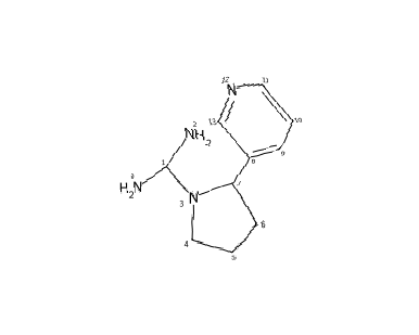 NC(N)N1CCCC1c1cccnc1